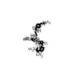 Cc1cc(C)c2cccc(OCc3c(Cl)ccc(S(=O)(=O)N4CCC[C@H]4C(=O)NCCNC(=O)c4ccc(C=NN)cc4)c3Cl)c2n1.Cl.Cl